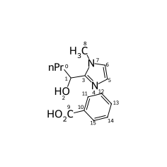 CCCC(O)c1nccn1C.O=C(O)c1ccccc1